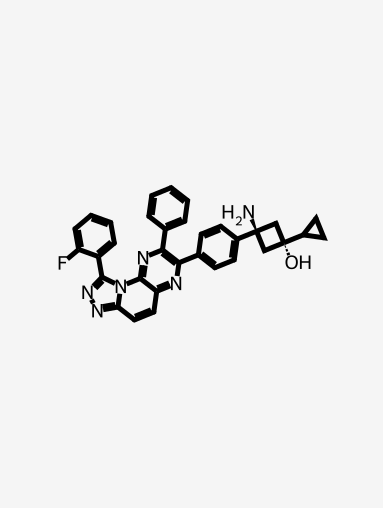 N[C@]1(c2ccc(-c3nc4ccc5nnc(-c6ccccc6F)n5c4nc3-c3ccccc3)cc2)C[C@](O)(C2CC2)C1